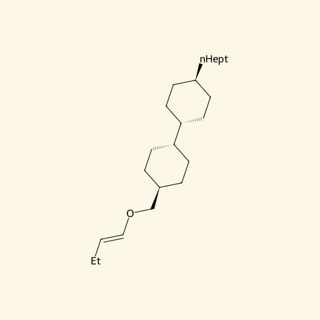 CCC=COC[C@H]1CC[C@H]([C@H]2CC[C@H](CCCCCCC)CC2)CC1